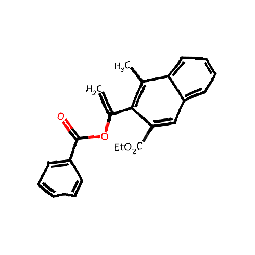 C=C(OC(=O)c1ccccc1)c1c(C(=O)OCC)cc2ccccc2c1C